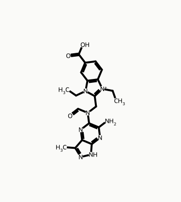 CCn1c(CN(C=O)c2nc3c(C)n[nH]c3nc2N)[n+](CC)c2ccc(C(=O)O)cc21